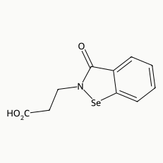 O=C(O)CCn1[se]c2ccccc2c1=O